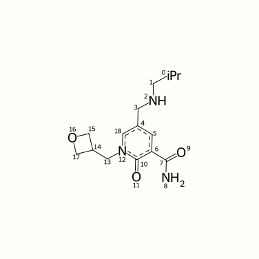 CC(C)CNCc1cc(C(N)=O)c(=O)n(CC2COC2)c1